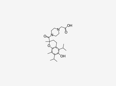 Cc1c2c(c(C(C)C)c(O)c1C(C)C)CCC(C)(C(=O)N1CCN(CC(=O)O)CC1)O2